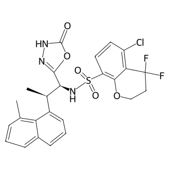 Cc1cccc2cccc([C@@H](C)[C@H](NS(=O)(=O)c3ccc(Cl)c4c3OCCC4(F)F)c3n[nH]c(=O)o3)c12